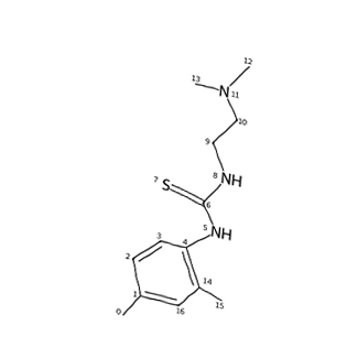 Cc1ccc(NC(=S)NCCN(C)C)c(C)c1